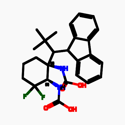 CC(C)(C)C(C1c2ccccc2-c2ccccc21)[C@@]1(NC(=O)O)CCCC(F)(F)[C@@H]1NC(=O)O